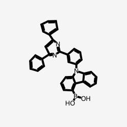 OB(O)c1cccc2c1c1ccccc1n2-c1cccc(-c2nc(-c3ccccc3)cc(-c3ccccc3)n2)c1